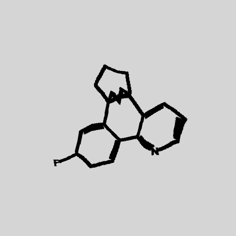 FC1C=C2C(=CC1)c1ncccc1C13CCCC21CCC3